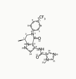 C[C@H]1CN(c2ccc(C(F)(F)F)cc2)C(=O)c2c(NC(=O)c3cncn3C)cnn21